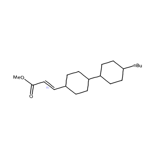 CCCCC1CCC(C2CCC(/C=C/C(=O)OC)CC2)CC1